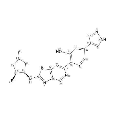 CN1C[C@H](F)[C@H](Nc2nc3nnc(-c4ccc(-c5cn[nH]c5)cc4O)cc3s2)C1